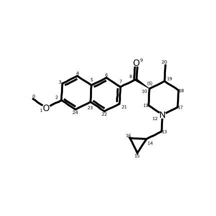 COc1ccc2cc(C(=O)[C@@H]3CN(CC4CC4)CCC3C)ccc2c1